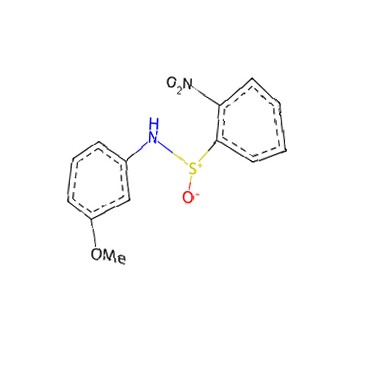 COc1cccc(N[S+]([O-])c2ccccc2[N+](=O)[O-])c1